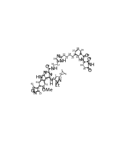 CCn1nc(C2CC2)cc1Nc1nc(C(=O)NCCc2cnc(CCCCc3cccc4c3CN(C3CCC(=O)NC3=O)C4=O)[nH]2)nc2[nH]c3c(c12)=CC(OC)C(c1c(C)noc1C)C=3